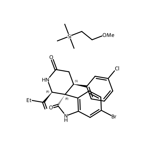 C=C(CC)[C@H]1NC(=O)C[C@@H](c2cccc(Cl)c2)[C@]12C(=O)Nc1cc(Br)ccc12.COCC[Si](C)(C)C